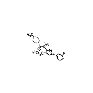 CC(C)N(c1nn(-c2cccc(F)c2)cc1C(=O)O)C(=O)[C@H]1CC[C@H](C)CC1